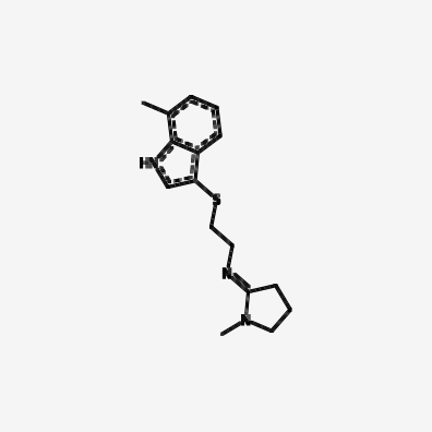 Cc1cccc2c(SCCN=C3CCCN3C)c[nH]c12